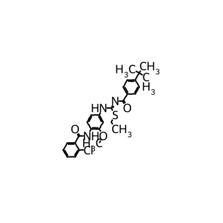 CCS/C(=N\C(=O)c1ccc(C(C)(C)C)cc1)Nc1ccc(NC(=O)c2ccccc2Cl)c(OC)c1